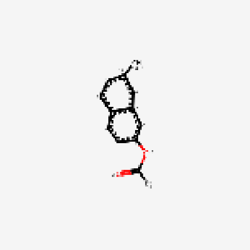 CCC(=O)Oc1ccc2ccc(C)cc2c1